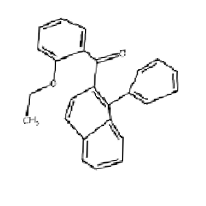 CCOc1ccccc1C(=O)c1ccc2ccccc2c1-c1ccccc1